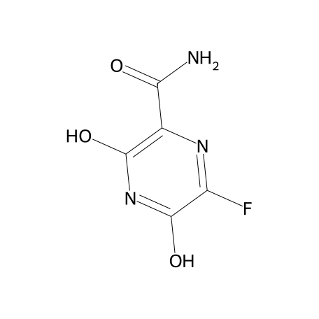 NC(=O)c1nc(F)c(O)nc1O